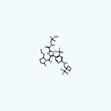 CCCC1CCC(C)N1C(=O)c1nc(C(=O)NCC(C)(C)O)sc1-c1cnc(NCC2(C(F)(F)F)CCC2)cc1C(F)(F)F